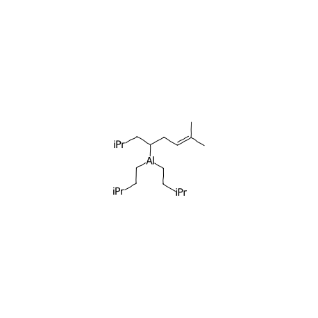 CC(C)=CC[CH](CC(C)C)[Al]([CH2]CC(C)C)[CH2]CC(C)C